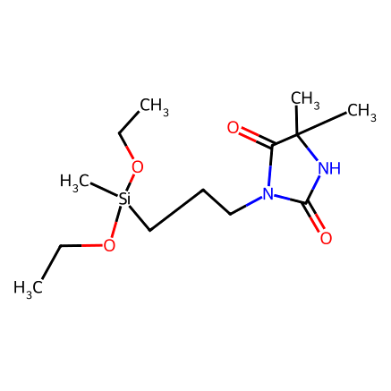 CCO[Si](C)(CCCN1C(=O)NC(C)(C)C1=O)OCC